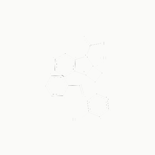 CC(=O)N1c2ccccc2[C@]2(C(=O)c3ccccc3)[C@@H](c3cc(C)ccn3)C[C@]12C